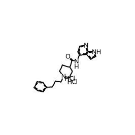 Cl.Cl.O=C(Nc1ccnc2[nH]ccc12)C1CCN(CCCc2ccccc2)CC1